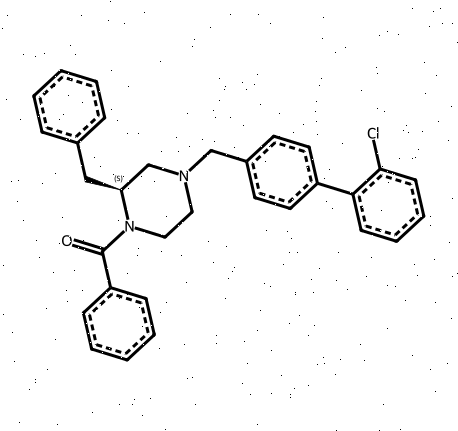 O=C(c1ccccc1)N1CCN(Cc2ccc(-c3ccccc3Cl)cc2)C[C@@H]1Cc1ccccc1